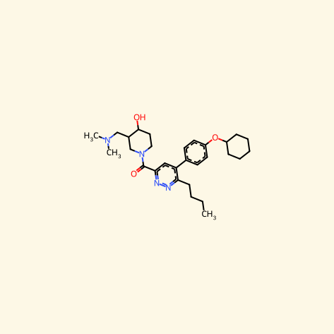 CCCCc1nnc(C(=O)N2CCC(O)C(CN(C)C)C2)cc1-c1ccc(OC2CCCCC2)cc1